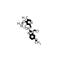 COc1ccc2nc([S@@+]([O-])Cc3ncc(C)c(OC)c3C)n(CCl)c2c1